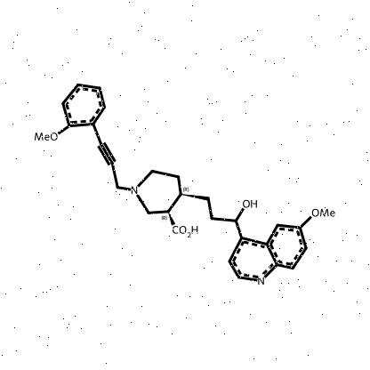 COc1ccc2nccc(C(O)CC[C@@H]3CCN(CC#Cc4ccccc4OC)C[C@@H]3C(=O)O)c2c1